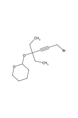 CCC(C#CCBr)(CC)OC1CCCCO1